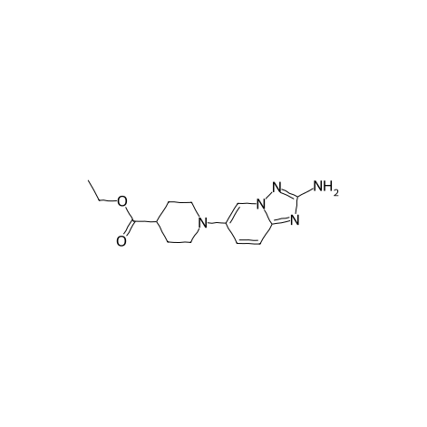 CCOC(=O)C1CCN(c2ccc3nc(N)nn3c2)CC1